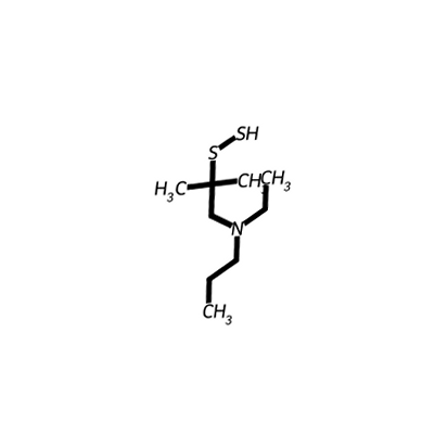 CCCN(CC)CC(C)(C)SS